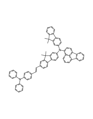 CC1(C)c2ccccc2-c2ccc(N(c3ccc4c(c3)C(C)(C)c3cc(/C=C/c5ccc(N(c6ccccc6)c6ccccc6)cc5)ccc3-4)c3ccc4c5c(cccc35)-c3ccccc3-4)cc21